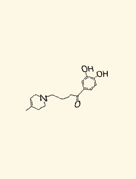 CC1=CCN(CCCC(=O)c2ccc(O)c(O)c2)CC1